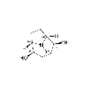 CC(C)N1[C@@H]2CC[C@H]1[C@H](O)CC[C@@H]2O